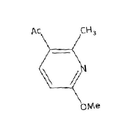 COc1ccc(C(C)=O)c(C)n1